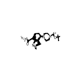 Cn1cc2c(N3CCN(C(=O)OC(C)(C)C)CC3)ccc(C(N)=O)c2n1